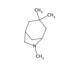 CN1CC2CC1CC(C)(C)C2